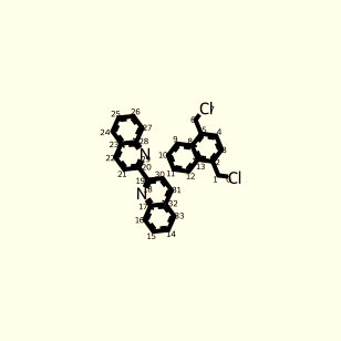 ClCc1ccc(CCl)c2ccccc12.c1ccc2nc(-c3ccc4ccccc4n3)ccc2c1